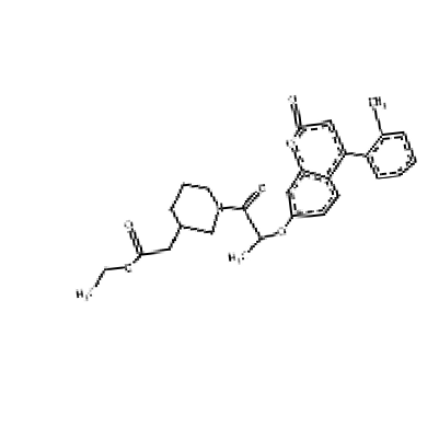 CCOC(=O)CC1CCCN(C(=O)C(C)Oc2ccc3c(-c4ccccc4C)cc(=O)oc3c2)C1